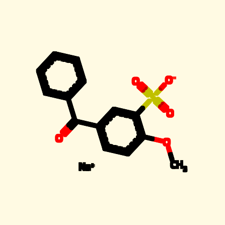 COc1ccc(C(=O)c2ccccc2)cc1S(=O)(=O)[O-].[Na+]